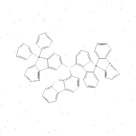 c1ccc(C2(c3ccccc3)c3ccccc3-c3cc(N(c4cccc5c4-c4ccccc4C54c5ccccc5-c5ccccc54)c4cccc5c4oc4ccccc45)ccc32)cc1